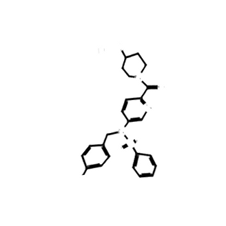 CCOC(=O)C1CCN(C(=O)c2ccc(N(Cc3ccc(Cl)cc3)S(=O)(=O)c3ccccc3)cn2)CC1